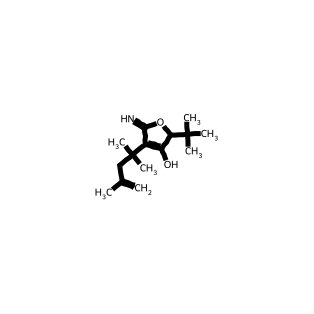 C=C(C)CC(C)(C)C1=C(O)C(C(C)(C)C)OC1=N